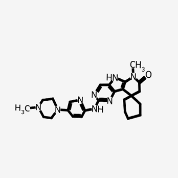 CN1CCN(c2ccc(Nc3ncc4[nH]c5c(c4n3)C3(CCCCC3)CC(=O)N5C)nc2)CC1